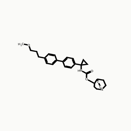 COCCCc1ccc(-c2ccc(C3(NC(=O)OC4CCN5CCC4CC5)CC3)cc2)cc1